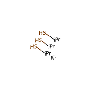 CC(C)S.CC(C)S.CC(C)S.[K]